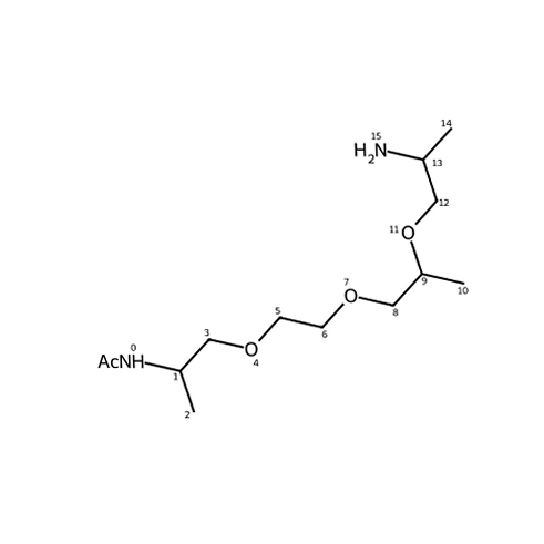 CC(=O)NC(C)COCCOCC(C)OCC(C)N